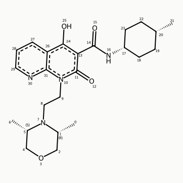 C[C@@H]1COC[C@H](C)N1CCn1c(=O)c(C(=O)N[C@H]2CC[C@@H](C)CC2)c(O)c2cccnc21